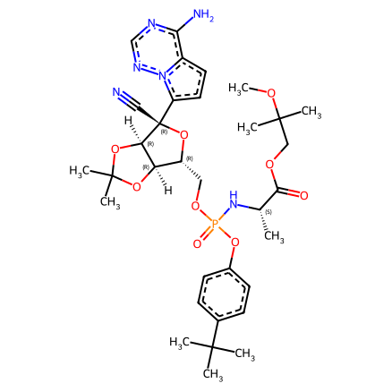 COC(C)(C)COC(=O)[C@H](C)NP(=O)(OC[C@H]1O[C@@](C#N)(c2ccc3c(N)ncnn23)[C@@H]2OC(C)(C)O[C@@H]21)Oc1ccc(C(C)(C)C)cc1